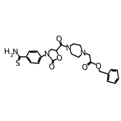 NC(=S)c1ccc(N2CC(C(=O)N3CCN(CC(=O)OCc4ccccc4)CC3)OC2=O)cc1